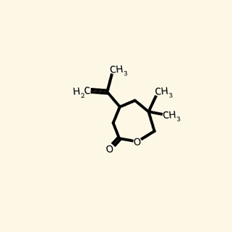 C=C(C)C1CC(=O)OCC(C)(C)C1